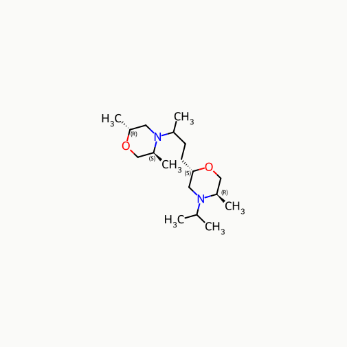 CC(C)N1C[C@H](CCC(C)N2C[C@@H](C)OC[C@@H]2C)OC[C@H]1C